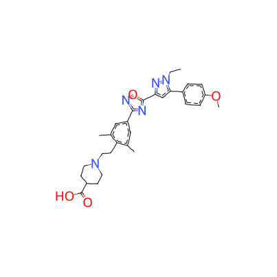 CCn1nc(-c2nc(-c3cc(C)c(CCN4CCC(C(=O)O)CC4)c(C)c3)no2)cc1-c1ccc(OC)cc1